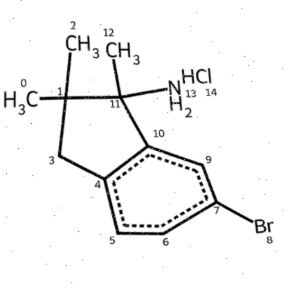 CC1(C)Cc2ccc(Br)cc2C1(C)N.Cl